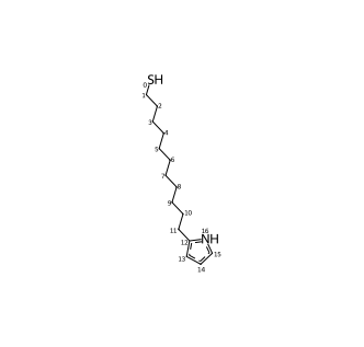 SCCCCCCCCCCCc1ccc[nH]1